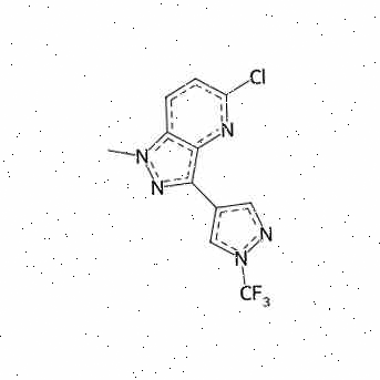 Cn1nc(-c2cnn(C(F)(F)F)c2)c2nc(Cl)ccc21